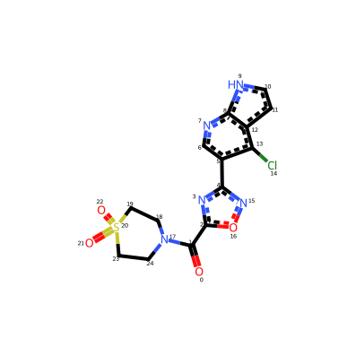 O=C(c1nc(-c2cnc3[nH]ccc3c2Cl)no1)N1CCS(=O)(=O)CC1